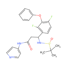 CC(C)(C)[S+]([O-])NC(CC(=O)Nc1ccncc1)c1ccc(F)c(Oc2ccccc2)c1F